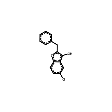 Oc1c(Cc2ccccc2)sc2ccc(Cl)cc12